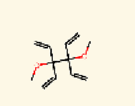 C=CC(C=C)(OC)C(C=C)(C=C)OC